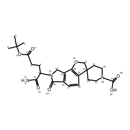 CC(C)(C)OC(=O)CCC(C(N)=O)N1Cc2c(ccc3c2OCC32CCN(C(=O)O)CC2)C1=O